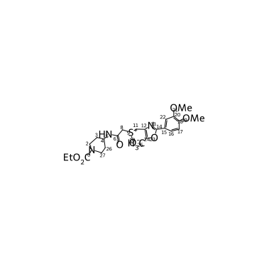 CCOC(=O)N1CCC(NC(=O)C[S+]([O-])Cc2nc(-c3ccc(OC)c(OC)c3)oc2C)CC1